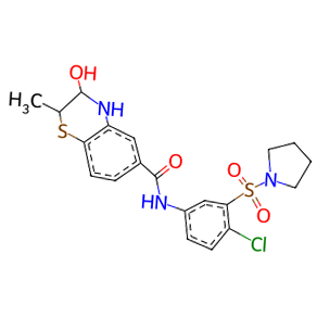 CC1Sc2ccc(C(=O)Nc3ccc(Cl)c(S(=O)(=O)N4CCCC4)c3)cc2NC1O